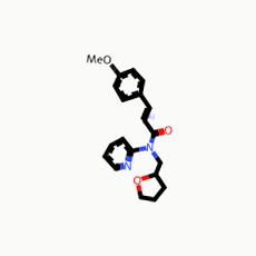 COc1ccc(/C=C/C(=O)N(CC2CCCO2)c2ccccn2)cc1